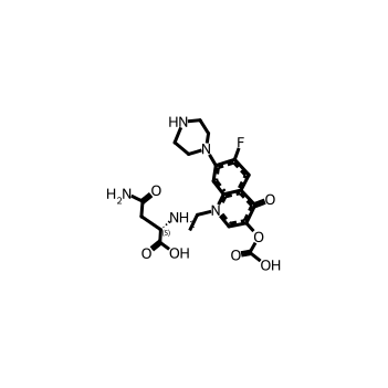 CCn1cc(OC(=O)O)c(=O)c2cc(F)c(N3CCNCC3)cc21.NC(=O)C[C@H](N)C(=O)O